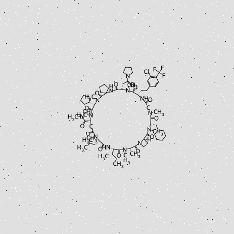 CC[C@H](C)[C@@H]1NC(=O)[C@H](CC(C)C)N(C)C(=O)C[C@@H](C(=O)N(C)C)N(C)C(=O)[C@H](C2CCCC2)N(C)C(=O)C2(CCCC2)NC(=O)[C@H](CC(=O)N2CCCC2)N(C)C(=O)[C@H](CCc2ccc(C(F)(F)F)c(Cl)c2)NC(=O)CN(C)C(=O)[C@H](CC2CCCCC2)N(C)C(=O)[C@@H]2CCN2C(=O)[C@H](C)N(C)C1=O